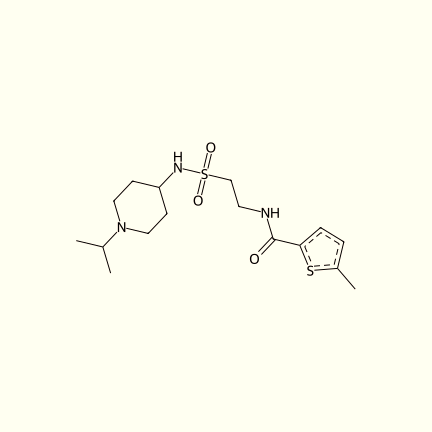 Cc1ccc(C(=O)NCCS(=O)(=O)NC2CCN(C(C)C)CC2)s1